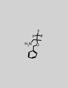 CC(CN)(OCc1ccccc1)C(F)(F)F